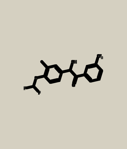 Cc1cc(C(O)C(=O)c2cccc(C(F)(F)F)c2)ccc1OC(F)F